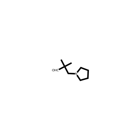 CC(C)([C]=O)CN1CCCC1